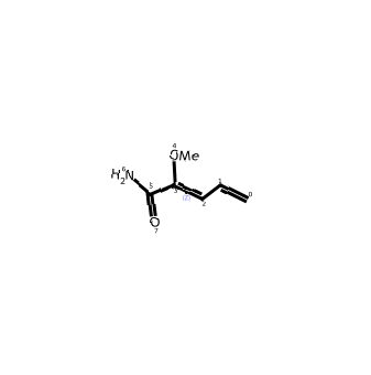 C=C/C=C(\OC)C(N)=O